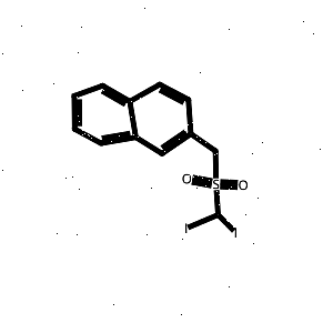 O=S(=O)(Cc1ccc2ccccc2c1)C(I)I